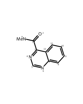 CNC(=O)c1ncnc2ccccc12